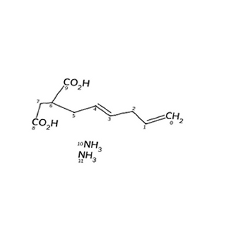 C=CCC=CCC(CC(=O)O)C(=O)O.N.N